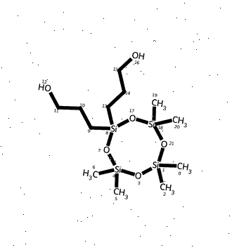 C[Si]1(C)O[Si](C)(C)O[Si](CCCO)(CCCO)O[Si](C)(C)O1